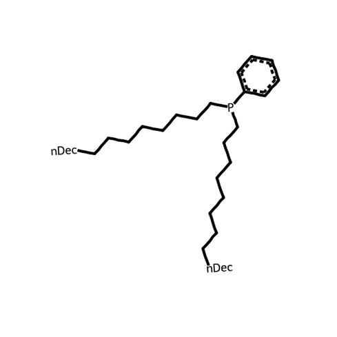 CCCCCCCCCCCCCCCCCCP(CCCCCCCCCCCCCCCCCC)c1ccccc1